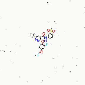 CS(=O)(=O)c1cccc(NC(=O)c2cc(C(F)(F)F)nnc2Oc2ccc(OCF)cc2F)c1